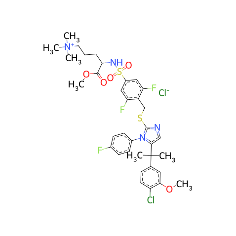 COC(=O)C(CCC[N+](C)(C)C)NS(=O)(=O)c1cc(F)c(CSc2ncc(C(C)(C)c3ccc(Cl)c(OC)c3)n2-c2ccc(F)cc2)c(F)c1.[Cl-]